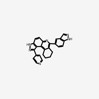 c1cc(-c2n[nH]c3ccc4nc(-c5ccc6[nH]ncc6c5)c5c(c4c23)CCCC5)ccn1